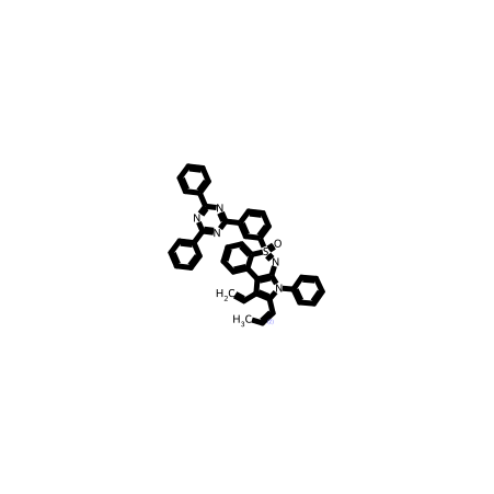 C=Cc1c2c(n(-c3ccccc3)c1/C=C\C)N=S(=O)(c1cccc(-c3nc(-c4ccccc4)nc(-c4ccccc4)n3)c1)c1ccccc1-2